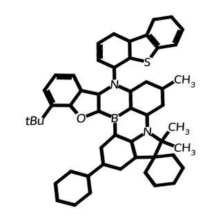 CC1CC2C3B(C4CC(C5CCCCC5)CC5C4N(C3C1)C(C)(C)C51CCCCC1)C1OC3C(C(C)(C)C)=CC=CC3C1N2C1C=CCC2C3=C(C=CCC3)SC21